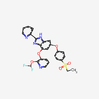 CCS(=O)(=O)c1ccc(Oc2cc(Oc3cccnc3OC(F)F)c3nc(-c4ccccn4)[nH]c3c2)cc1